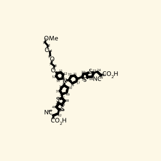 COCCOCCOCCOc1ccc(N(c2ccc(-c3cc4sc(/C=C(\C#N)C(=O)O)cc4s3)cc2)c2ccc(-c3cc4sc(/C=C(\C#N)C(=O)O)cc4s3)cc2)cc1